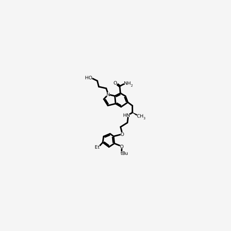 CCc1ccc(OCCN[C@H](C)Cc2cc(C(N)=O)c3c(ccn3CCCO)c2)c(OC(C)(C)C)c1